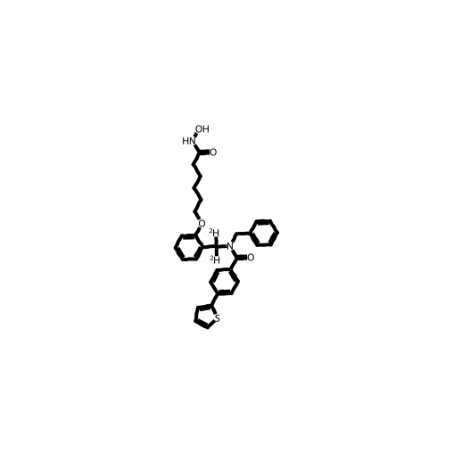 [2H]C([2H])(c1ccccc1OCCCCCC(=O)NO)N(Cc1ccccc1)C(=O)c1ccc(-c2cccs2)cc1